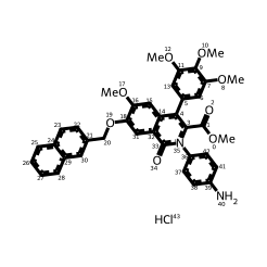 COC(=O)c1c(-c2cc(OC)c(OC)c(OC)c2)c2cc(OC)c(OCc3ccc4ccccc4c3)cc2c(=O)n1-c1ccc(N)cc1.Cl